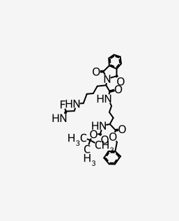 CC(C)(C)OC(=O)NC(CCCNC(=O)C(CCCCNCC(=N)F)N1C(=O)c2ccccc2C1=O)C(=O)OCc1ccccc1